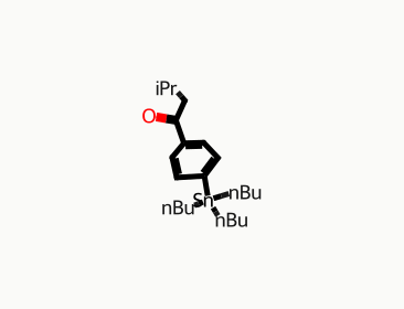 CCC[CH2][Sn]([CH2]CCC)([CH2]CCC)[c]1ccc(C(=O)CC(C)C)cc1